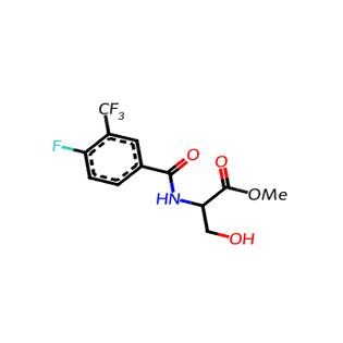 COC(=O)C(CO)NC(=O)c1ccc(F)c(C(F)(F)F)c1